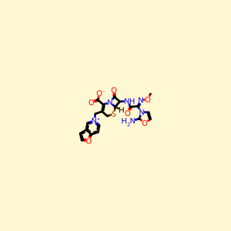 CON=C(C(=O)NC1C(=O)N2C(C(=O)[O-])=C(C[n+]3ccc4occc4c3)CS[C@@H]12)N1C=COC1N